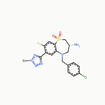 CCn1nnc(-c2cc3c(cc2F)S(=O)(=O)C[C@H](N)CN3Cc2ccc(Cl)cc2)n1